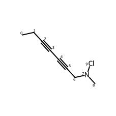 CCC#CC#CCN(C)Cl